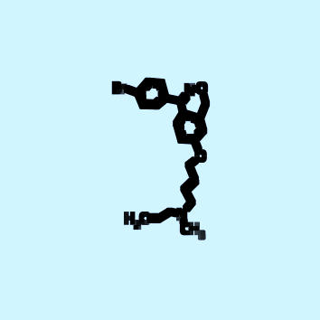 C=CCN(C)CC=CCOc1ccc2c(c1)CON=C2c1ccc(Br)cc1